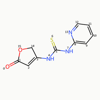 O=C1C=C(NC(=S)Nc2ccccn2)CO1